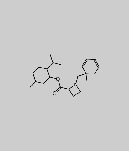 CC1CCC(C(C)C)C(OC(=O)C2CCN2CC2(C)C=CC=CC2)C1